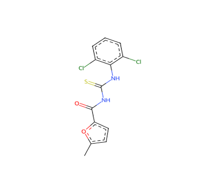 Cc1ccc(C(=O)NC(=S)Nc2c(Cl)cccc2Cl)o1